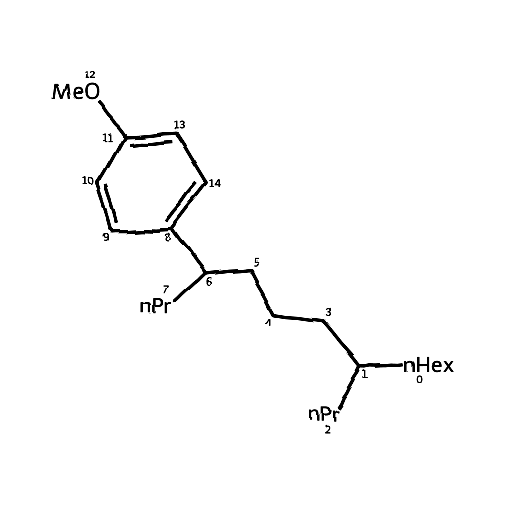 CCCCCCC(CCC)CCCC(CCC)c1ccc(OC)cc1